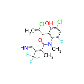 C=C(Cl)Cc1c(O)c(Cl)cc(F)c1N(C)C(=O)/C(C)=C(\C=N)C(F)(F)F